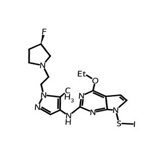 CCOc1nc(Nc2cnn(CCN3CC[C@@H](F)C3)c2C)nc2c1ccn2SI